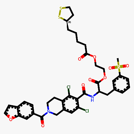 CS(=O)(=O)c1cccc(CC(NC(=O)c2c(Cl)cc3c(c2Cl)CCN(C(=O)c2ccc4ccoc4c2)C3)C(=O)OCCOC(=O)CCCC[C@@H]2CCSS2)c1